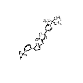 CC(C)(C)c1ccc(C2=NC(=Cc3ccc(-c4cccc(C(F)(F)F)c4)o3)C(=O)O2)cc1